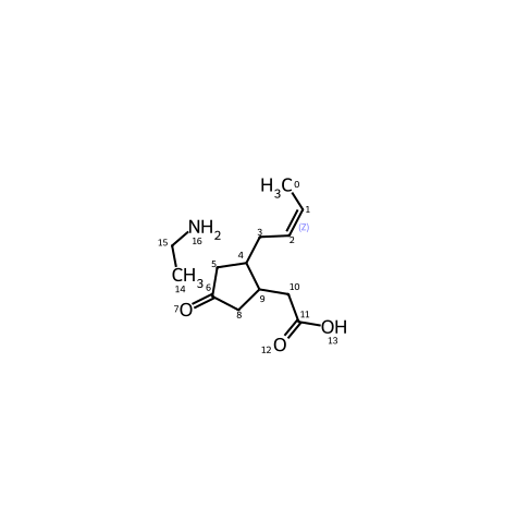 C/C=C\CC1CC(=O)CC1CC(=O)O.CCN